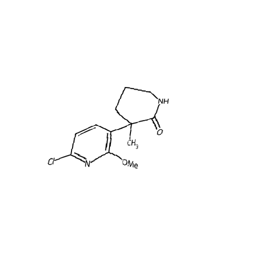 COc1nc(Cl)ccc1C1(C)CCCNC1=O